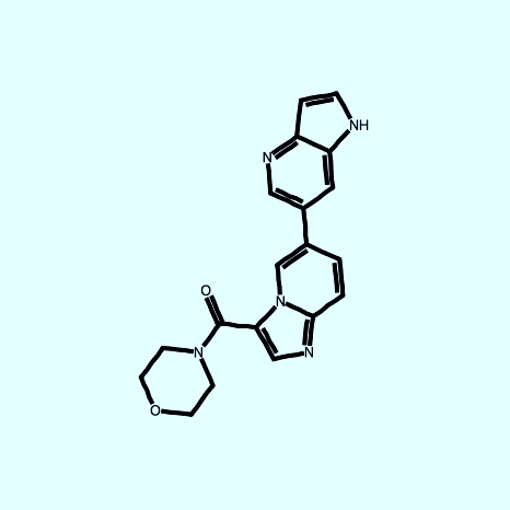 O=C(c1cnc2ccc(-c3cnc4cc[nH]c4c3)cn12)N1CCOCC1